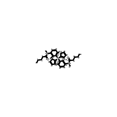 CCCCC(=O)N(C)c1ccc(F)[c]([Ti]([C]2=CC=CC2)([C]2=CC=CC2)[c]2c(F)ccc(N(C)C(=O)CCCC)c2F)c1F